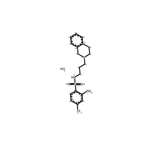 Cl.O=[N+]([O-])c1cc(C(F)(F)F)ccc1S(=O)(=O)NCCCN1CCc2ccccc2C1